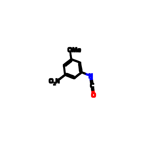 COc1cc(N=C=O)cc([N+](=O)[O-])c1